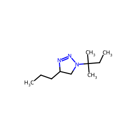 CCCC1CN(C(C)(C)CC)N=N1